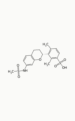 Cc1ccc(S(=O)(=O)O)c(C)c1[C@H]1CCc2ccc(NS(C)(=O)=O)cc2O1